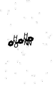 O=C(Nc1ccccc1)c1ccc(Nc2ncnc3ccccc23)cc1